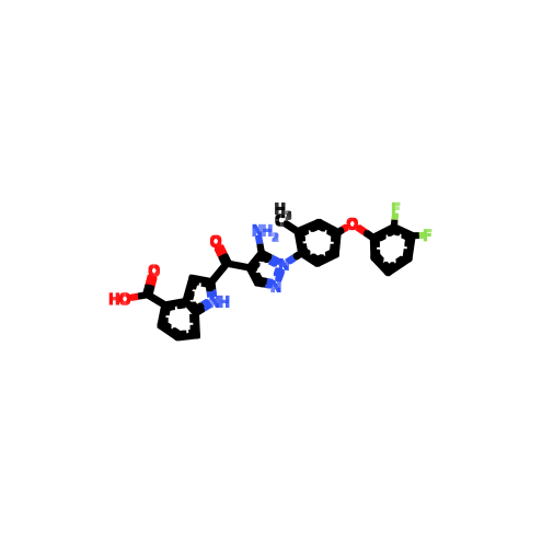 Cc1cc(Oc2cccc(F)c2F)ccc1-n1ncc(C(=O)c2cc3c(C(=O)O)cccc3[nH]2)c1N